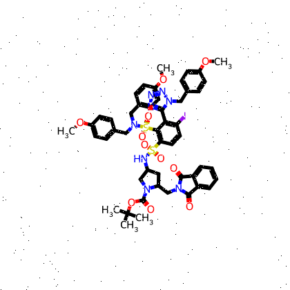 COc1ccc(CN(Cc2ccc(OC)cc2)S(=O)(=O)c2c(S(=O)(=O)NC3CC(CN4C(=O)c5ccccc5C4=O)N(C(=O)OC(C)(C)C)C3)ccc(I)c2-c2nnnn2Cc2ccc(OC)cc2)cc1